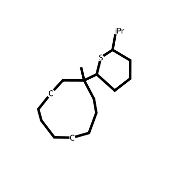 CC(C)C1CCCC(C2(C)CCCCCCCCC2)S1